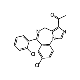 CC(=O)c1ncn2c1CN=C(c1ccccc1Cl)c1cc(Cl)ccc1-2